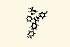 N#CC1(NC(=O)[C@@H]2CCCC[C@H]2c2nc(-c3ccc(F)cc3F)sc2-c2ccc(N3CCS(=O)(=O)CC3)cc2)CC1